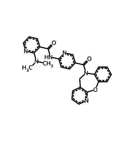 CN(C)c1ncccc1C(=O)Nc1ccc(C(=O)N2Cc3cccnc3Oc3ccccc32)cn1